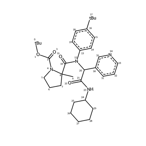 CC(C)(C)OC(=O)N1CCCC1(C)C(=O)N(c1ccc(C(C)(C)C)cc1)C(C(=O)NC1CCCCC1)c1cccnc1